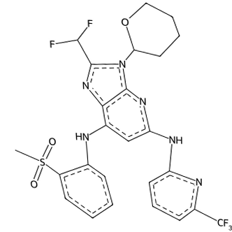 CS(=O)(=O)c1ccccc1Nc1cc(Nc2cccc(C(F)(F)F)n2)nc2c1nc(C(F)F)n2C1CCCCO1